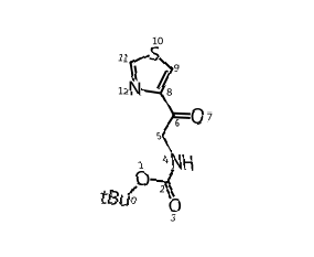 CC(C)(C)OC(=O)NCC(=O)c1cscn1